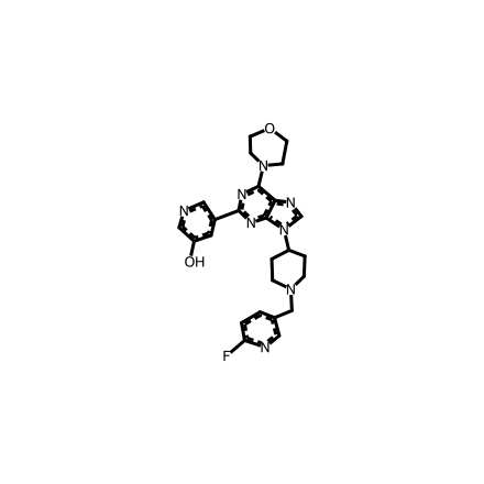 Oc1cncc(-c2nc(N3CCOCC3)c3ncn(C4CCN(Cc5ccc(F)nc5)CC4)c3n2)c1